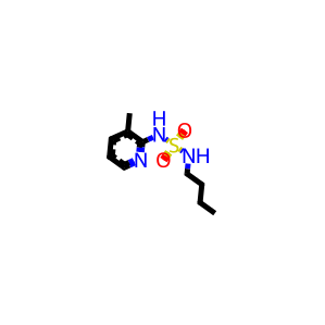 CCCCNS(=O)(=O)Nc1ncccc1C